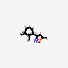 Cc1cc(-c2cccc(C)c2C)no1